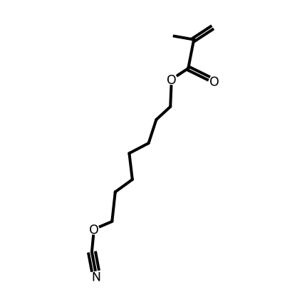 C=C(C)C(=O)OCCCCCCCOC#N